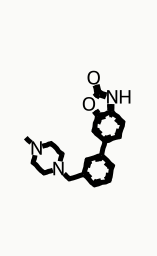 CN1CCN(Cc2cccc(-c3ccc4[nH]c(=O)oc4c3)c2)CC1